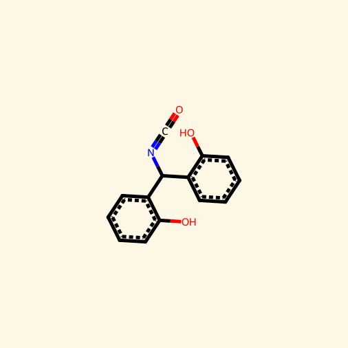 O=C=NC(c1ccccc1O)c1ccccc1O